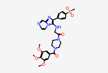 COc1cc(C(=O)N2CCN(C(=O)CNc3c(-c4ccc(S(C)(=O)=O)cc4)nc4cnccn34)CC2)cc(OC)c1OC